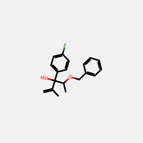 C=C(C)C(O)(c1ccc(F)cc1)C(C)OCc1ccccc1